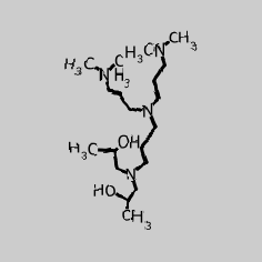 CC(O)CN(CCCN(CCCN(C)C)CCCN(C)C)CC(C)O